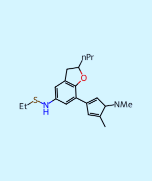 CCCC1Cc2cc(NSCC)cc(C3=CC(NC)C(C)=C3)c2O1